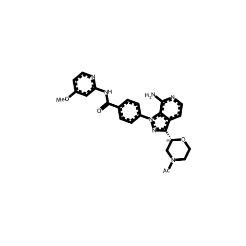 COc1ccnc(NC(=O)c2ccc(-n3nc([C@H]4CN(C(C)=O)CCO4)c4ccnc(N)c43)cc2)c1